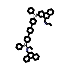 C=C/C=C\c1cc2ccccc2c2ccc(N(c3ccccc3)c3ccc(-c4ccc(-c5ccc(N(/C(C=C)=C/c6cc7ccccc7c7ccccc67)c6ccccc6)cc5)cc4)cc3)cc12